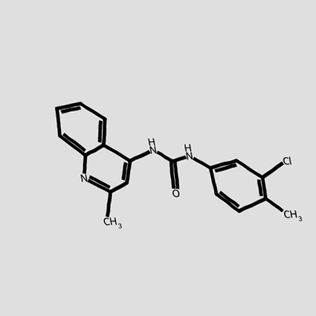 Cc1cc(NC(=O)Nc2ccc(C)c(Cl)c2)c2ccccc2n1